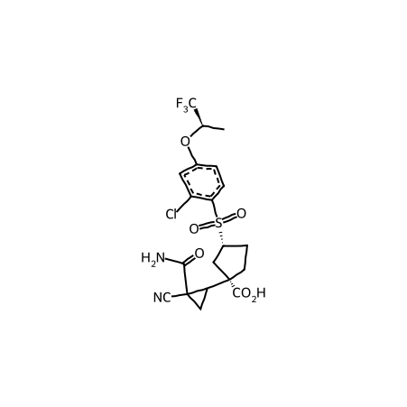 C[C@@H](Oc1ccc(S(=O)(=O)[C@@H]2CC[C@@](C(=O)O)(C3CC3(C#N)C(N)=O)C2)c(Cl)c1)C(F)(F)F